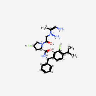 C/C(=C/N)N(N)CC(=O)N1C[C@H](F)C[C@H]1C(=O)N[C@@H](c1ccccc1)c1ccc(C(C)C)c(F)c1